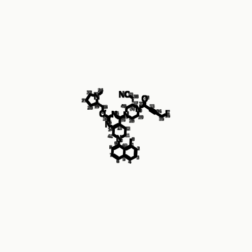 Cc1cccc2cccc(N3CCc4c(nc(OC[C@H]5CCCN5C)nc4N4CCN(C(=O)C#CCF)[C@@H](CC#N)C4)C3)c12